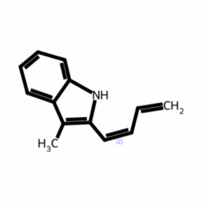 C=C/C=C\c1[nH]c2ccccc2c1C